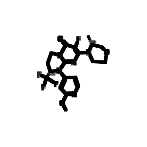 COc1cc(N2c3nc(N4CCOC[C@H]4C)c(F)c(=O)n3CC[C@H]2C(F)(F)F)ccn1